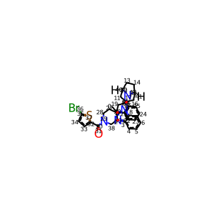 Cc1nc2ccccc2n1[C@H]1C[C@H]2CC[C@@H](C1)N2CCC1(c2ccccc2)CCN(C(=O)c2ccc(Br)s2)CC1